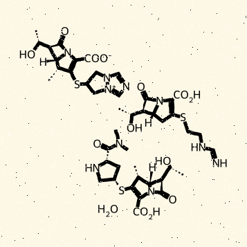 C[C@@H](O)[C@H]1C(=O)N2C(C(=O)O)=C(SCCNC=N)C[C@H]12.C[C@@H](O)[C@H]1C(=O)N2C(C(=O)O)=C(S[C@@H]3CN[C@H](C(=O)N(C)C)C3)[C@H](C)[C@H]12.C[C@@H](O)[C@H]1C(=O)N2C(C(=O)[O-])=C(SC3Cn4cnc[n+]4C3)[C@H](C)[C@H]12.O